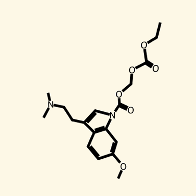 CCOC(=O)OCOC(=O)n1cc(CCN(C)C)c2ccc(OC)cc21